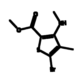 CNc1c(C(=O)OC)sc(Br)c1C